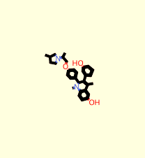 CC1=C(c2cccc(O)c2)C(c2ccc(OCC(C)N3CCC(C)C3)cc2)N(C)c2ccc(O)cc21